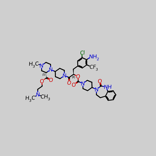 CN(C)CCOC(=O)[C@@H]1CN(C)CCN1C1CCN(C(=O)[C@@H](Cc2cc(Cl)c(N)c(C(F)(F)F)c2)OC(=O)N2CCC(N3CCc4ccccc4NC3=O)CC2)CC1